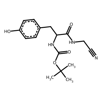 CC(C)(C)OC(=O)NC(Cc1ccc(O)cc1)C(=O)NCC#N